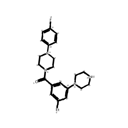 CCc1cc(C(=O)N2CCN(c3ccc(F)cc3)CC2)cc(N2CCNCC2)c1